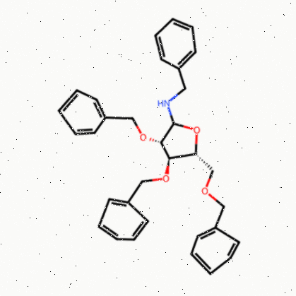 c1ccc(CNC2O[C@H](COCc3ccccc3)[C@@H](OCc3ccccc3)[C@@H]2OCc2ccccc2)cc1